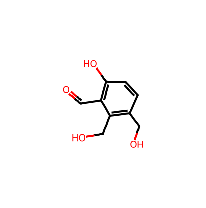 O=Cc1c(O)ccc(CO)c1CO